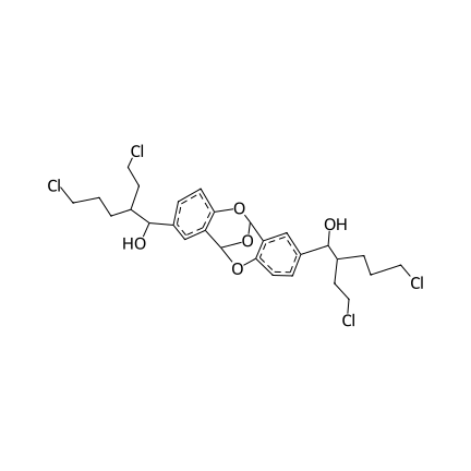 OC(c1ccc2c(c1)C1Oc3ccc(C(O)C(CCCl)CCCCl)cc3C(O2)O1)C(CCCl)CCCCl